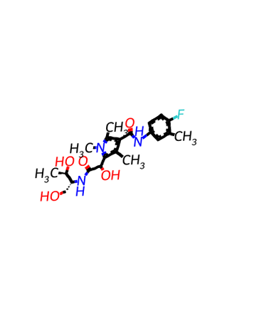 Cc1cc(NC(=O)c2c(C)c(C(O)C(=O)N[C@H](CO)[C@@H](C)O)n(C)c2C)ccc1F